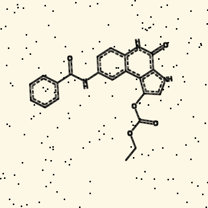 CCOC(=O)Oc1c[nH]c2c(=O)[nH]c3ccc(NC(=O)c4ccccc4)cc3c12